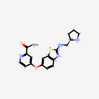 CNC(=O)c1cc(Oc2ccc3nc(NC[C@H]4CCCN4)sc3c2)ccn1